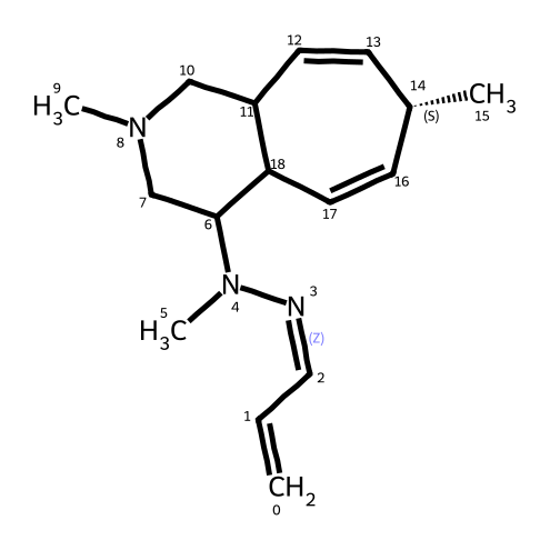 C=C/C=N\N(C)C1CN(C)CC2C=C[C@H](C)C=CC21